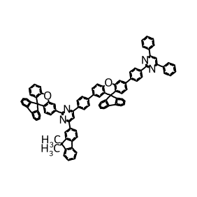 CC1(C)c2ccccc2-c2ccc(-c3cc(-c4ccc(-c5ccc6c(c5)C5(c7ccc(-c8ccc(-c9nc(-c%10ccccc%10)cc(-c%10ccccc%10)n9)cc8)cc7O6)c6ccccc6-c6ccccc65)cc4)nc(-c4ccc5c(c4)Oc4ccccc4C54c5ccccc5-c5ccccc54)n3)cc21